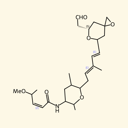 COC(C)/C=C\C(=O)NC1CC(C)C(C/C=C(C)/C=C/C2CC3(CO3)C[C@@H](CC=O)O2)OC1C